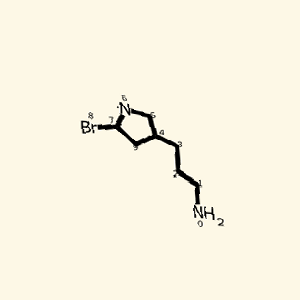 NCCCC1C[N]C(Br)C1